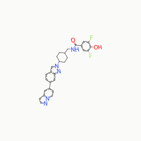 O=C(NCC1CCC(n2cc3ccc(-c4ccn5nccc5c4)cc3n2)CC1)c1cc(F)c(O)c(F)c1